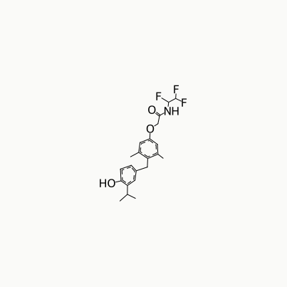 Cc1cc(OCC(=O)NC(F)C(F)F)cc(C)c1Cc1ccc(O)c(C(C)C)c1